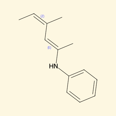 C/C=C(C)\C=C(/C)Nc1ccccc1